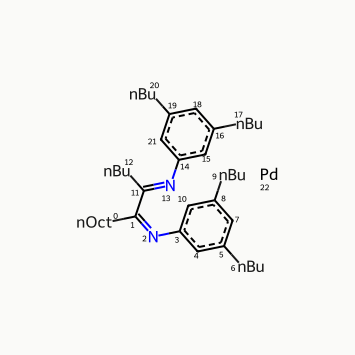 CCCCCCCCC(=Nc1cc(CCCC)cc(CCCC)c1)C(CCCC)=Nc1cc(CCCC)cc(CCCC)c1.[Pd]